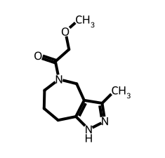 COCC(=O)N1CCCc2[nH]nc(C)c2C1